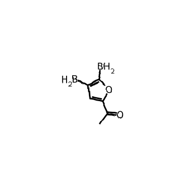 Bc1cc(C(C)=O)oc1B